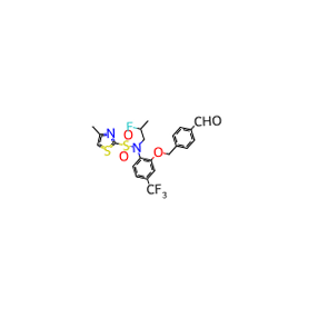 Cc1csc(S(=O)(=O)N(CC(C)F)c2ccc(C(F)(F)F)cc2OCc2ccc(C=O)cc2)n1